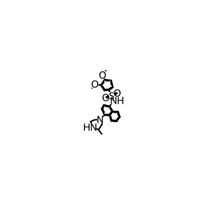 COc1ccc(S(=O)(=O)Nc2ccc(N3CCNC(C)C3)c3ccccc23)cc1OC